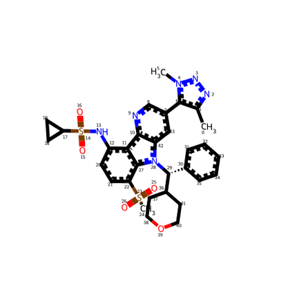 Cc1nnn(C)c1-c1cnc2c3c(NS(=O)(=O)C4CC4)ccc(S(C)(=O)=O)c3n([C@H](c3ccccc3)C3CCOCC3)c2c1